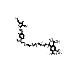 CCN(CCOCCOCCOCCOCCOC(=O)c1cc(C(=O)O)c(C(=O)O)cc1C(=O)O)c1ccc(/N=N/c2sc(C#N)c(C)c2C#N)c(C)c1